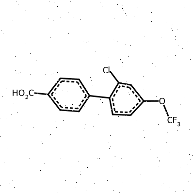 O=C(O)c1ccc(-c2ccc(OC(F)(F)F)cc2Cl)cc1